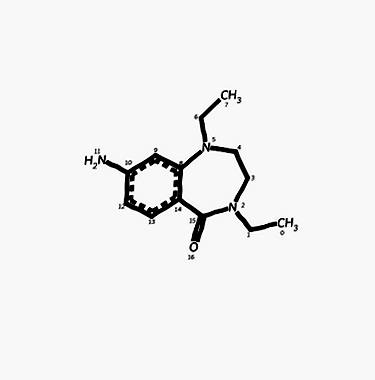 CCN1CCN(CC)c2cc(N)ccc2C1=O